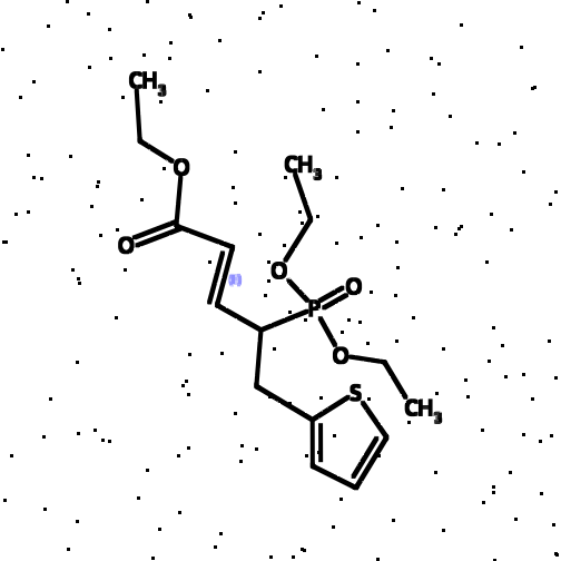 CCOC(=O)/C=C/C(Cc1cccs1)P(=O)(OCC)OCC